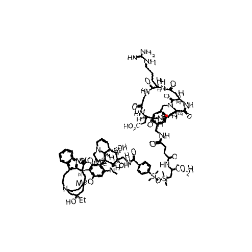 CC[C@]1(O)CC2CCN(CCc3c([nH]c4ccccc34)[C@@](C(=O)OC)(c3cc4c(cc3OC)N(C)[C@H]3[C@@](O)(CNC(=O)c5ccc([Si](C)(C)O[Si](C)(C)CC(NC(=O)CCC(=O)NCc6ccc(CN7C(=O)[C@H]8CC(=O)N[C@@H](CCCNC(=N)N)C(=O)NCC(=O)N[C@@H](CC(=O)O)C(=O)NC[C@H]7C(=O)N8)cc6)C(=O)O)cc5)[C@H](O)[C@]5(CC)C=CCN6CC[C@]43[C@H]65)C2)C1